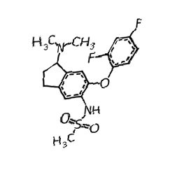 CN(C)C1CCc2cc(NS(C)(=O)=O)c(Oc3ccc(F)cc3F)cc21